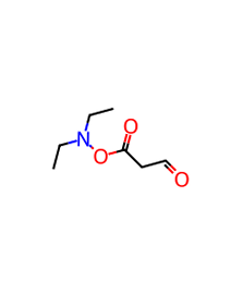 CCN(CC)OC(=O)CC=O